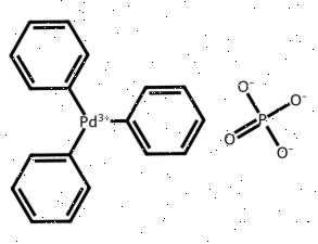 O=P([O-])([O-])[O-].c1cc[c]([Pd+3]([c]2ccccc2)[c]2ccccc2)cc1